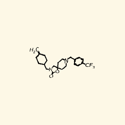 C=C1CCC(CN2CC3(CCN(Cc4ccc(C(F)(F)F)cc4)CC3)OC2=O)CC1